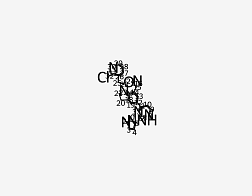 Cn1nccc1Nc1nccc(-c2cc(C#N)c3c(c2)CCN3C(=O)Cc2cccnc2Cl)n1